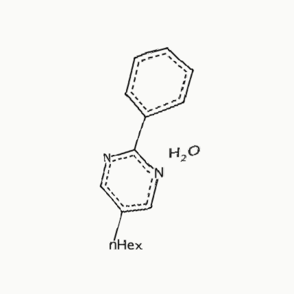 CCCCCCc1cnc(-c2ccccc2)nc1.O